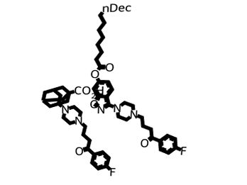 CCCCCCCCCCCCCCCCCC(=O)Oc1ccc2c(N3CCN(CCCC(=O)c4ccc(F)cc4)CC3)noc2c1.O=C(CCCN1CCN(C23CC4CC(CC(C(=O)O)(C4)C2)C3)CC1)c1ccc(F)cc1